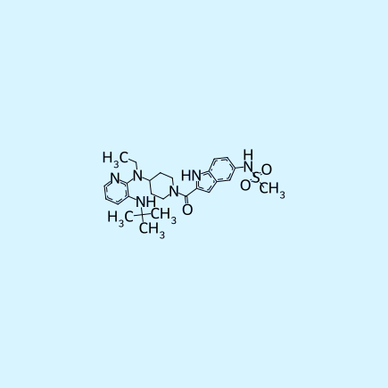 CCN(c1ncccc1NC(C)(C)C)C1CCN(C(=O)c2cc3cc(NS(C)(=O)=O)ccc3[nH]2)CC1